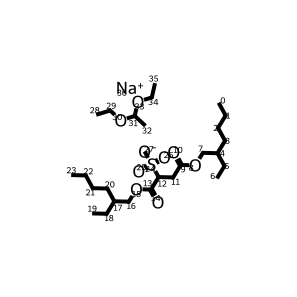 CCCCC(CC)COC(=O)CC(C(=O)OCC(CC)CCCC)S(=O)(=O)[O-].CCOC(C)OCC.[Na+]